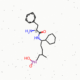 CC(CCC(NC(=O)[C@@H](N)Cc1ccccc1)C1CCCCC1)CC[PH](=O)O